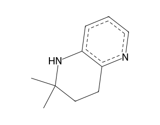 CC1(C)CCc2ncccc2N1